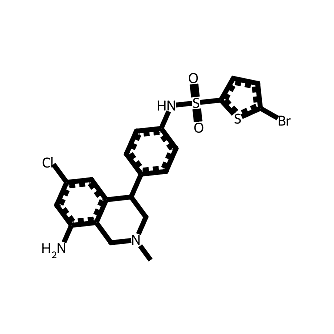 CN1Cc2c(N)cc(Cl)cc2C(c2ccc(NS(=O)(=O)c3ccc(Br)s3)cc2)C1